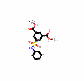 COC(=O)c1cc(C(=O)OC)cc(S(=O)(=O)Nc2cc[c]cc2)c1